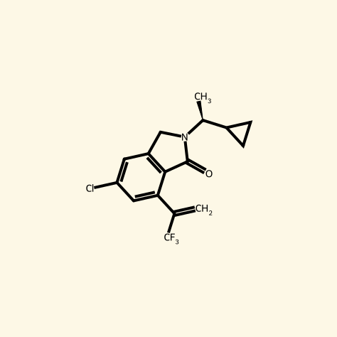 C=C(c1cc(Cl)cc2c1C(=O)N([C@@H](C)C1CC1)C2)C(F)(F)F